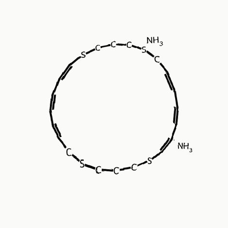 N.N.[C]1=CSCCCSCC=CC=CC=CSCCCSCC=CC=C1